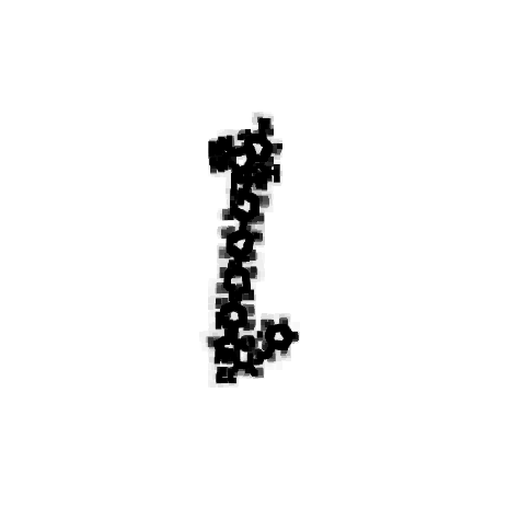 CC[C@@H]([C@H](C)OCc1ccccc1)n1ncn(-c2ccc(N3CCN(c4ccc(-c5ccc(C(F)(F)[C@]6(O)Cn7nnnc7-c7cc(F)ccc76)nc5)cc4)CC3)cn2)c1=O